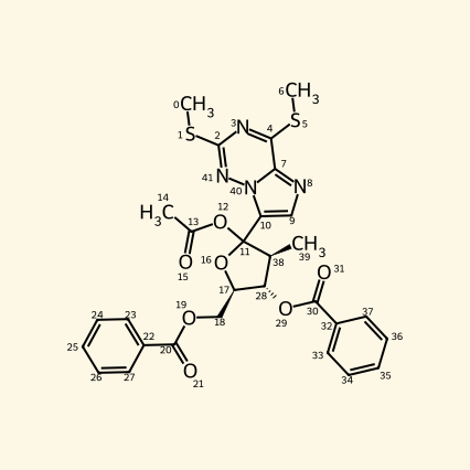 CSc1nc(SC)c2ncc(C3(OC(C)=O)O[C@H](COC(=O)c4ccccc4)[C@@H](OC(=O)c4ccccc4)[C@@H]3C)n2n1